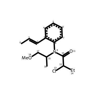 CC=Cc1ccccc1N(C(=O)C(Cl)CC)C(C)COC